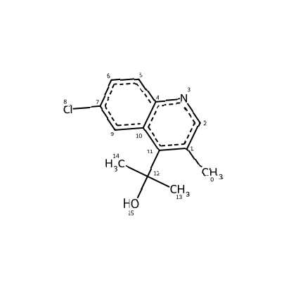 Cc1cnc2ccc(Cl)cc2c1C(C)(C)O